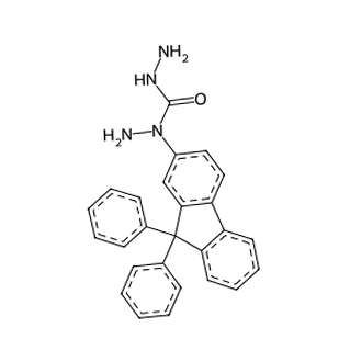 NNC(=O)N(N)c1ccc2c(c1)C(c1ccccc1)(c1ccccc1)c1ccccc1-2